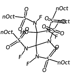 CCCCCCCCS(=O)(=O)N(F)C(O)(N(F)S(=O)(=O)CCCCCCCC)C(N(F)S(=O)(=O)CCCCCCCC)(N(F)S(=O)(=O)CCCCCCCC)N(F)S(=O)(=O)CCCCCCCC